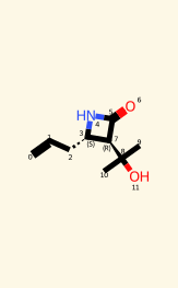 C=CC[C@@H]1NC(=O)[C@H]1C(C)(C)O